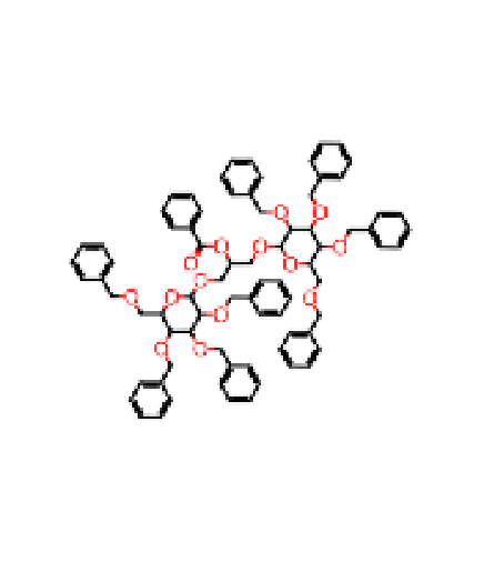 O=C(OC(COC1OC(COCc2ccccc2)C(OCc2ccccc2)C(OCc2ccccc2)C1OCc1ccccc1)COC1OC(COCc2ccccc2)C(OCc2ccccc2)C(OCc2ccccc2)C1OCc1ccccc1)c1ccccc1